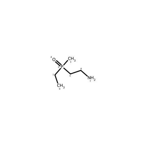 CCP(C)(=O)CCN